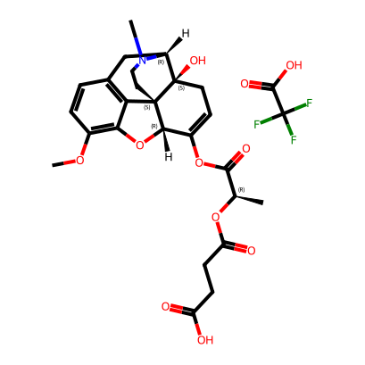 COc1ccc2c3c1O[C@H]1C(OC(=O)[C@@H](C)OC(=O)CCC(=O)O)=CC[C@@]4(O)[C@@H](C2)N(C)CC[C@]314.O=C(O)C(F)(F)F